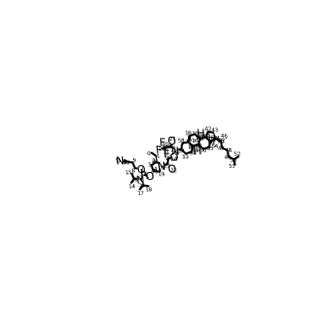 CC[C@@H]1C[C@@H](OP(OCCC#N)N(C(C)C)C(C)C)CN1C(=O)CON(C(=O)C(F)(F)F)C1CC[C@@]2(C)C(=CC[C@H]3[C@@H]4CC[C@H]([C@H](C)CCCC(C)C)[C@@]4(C)CC[C@@H]32)C1